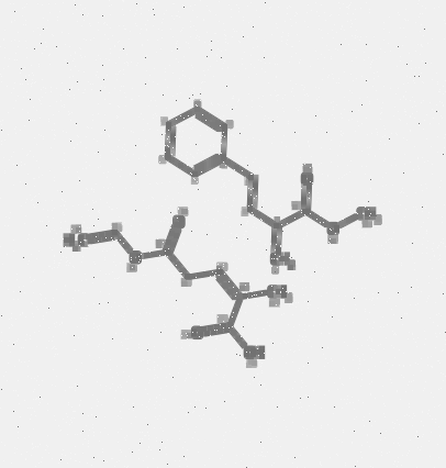 C=C(C=Cc1ccccc1)C(=O)OC.C=COC(=O)CC=C(C)C(=O)O